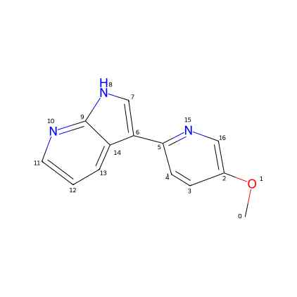 COc1c[c]c(-c2c[nH]c3ncccc23)nc1